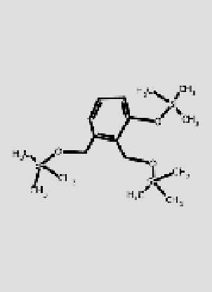 C[Si](C)(C)OCc1cccc(O[Si](C)(C)C)c1CO[Si](C)(C)C